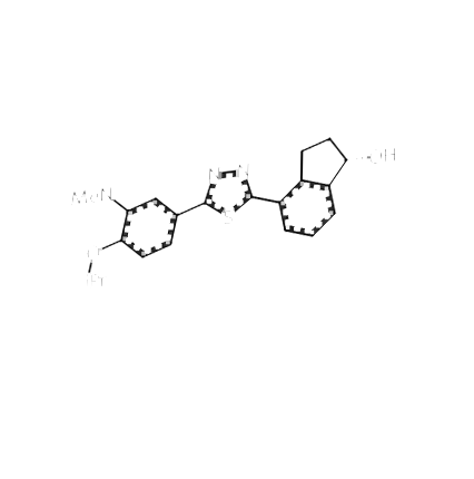 CNc1cc(-c2nnc(-c3cccc4c3CC[C@@H]4O)s2)ccc1OC(C)C